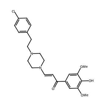 COc1cc(C(=O)C=CN2CCN(CCc3ccc(Cl)cc3)CC2)cc(OC)c1O